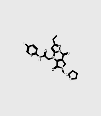 CCc1cc2n(CC(=O)Nc3ccc(F)cn3)c3c(c(=O)n2n1)CN(C[C@@H]1CCCO1)C3=O